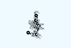 COc1ccc(Cn2c(=O)ccn([C@@H]3O[C@@H](C(O)[C@H](CO)NCCCNC(=O)[C@H](NC(=O)OCc4ccccc4)[C@@H](O)C(C)C)[C@@H](O[Si](C)(C)C(C)(C)C)[C@H]3O[Si](C)(C)C(C)(C)C)c2=O)cc1